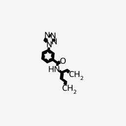 C=C/C=C(\C=C)NC(=O)c1cccc(-n2cnnn2)c1